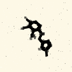 Cn1ccc(CNc2ccc(I)c(F)c2N)n1